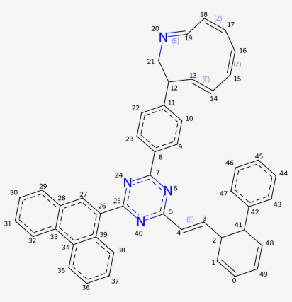 C1=CC(/C=C/c2nc(-c3ccc(C4/C=C/C=C\C=C/C=N/C4)cc3)nc(-c3cc4ccccc4c4ccccc34)n2)C(c2ccccc2)C=C1